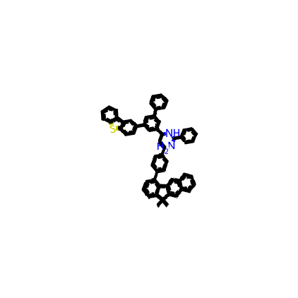 CC1(C)c2cc3ccccc3cc2-c2c(-c3ccc(/C=C/C(NC(N)c4ccccc4)c4cc(-c5ccccc5)cc(-c5ccc6sc7ccccc7c6c5)c4)cc3)cccc21